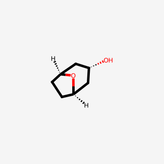 O[C@@H]1C[C@H]2CC[C@@H](C1)O2